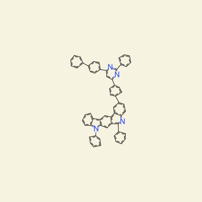 c1ccc(-c2ccc(-c3cc(-c4ccc(-c5ccc6nc(-c7ccccc7)c7cc8c(cc7c6c5)c5ccccc5n8-c5ccccc5)cc4)nc(-c4ccccc4)n3)cc2)cc1